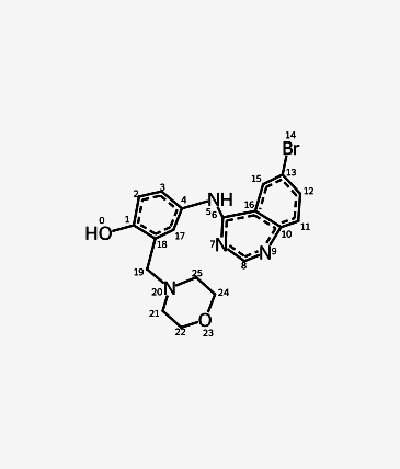 Oc1ccc(Nc2ncnc3ccc(Br)cc23)cc1CN1CCOCC1